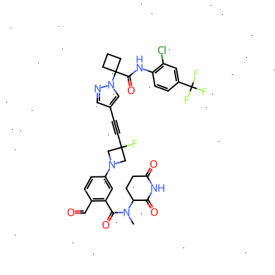 CN(C(=O)c1cc(N2CC(F)(C#Cc3cnn(C4(C(=O)Nc5ccc(C(F)(F)F)cc5Cl)CCC4)c3)C2)ccc1C=O)C1CCC(=O)NC1=O